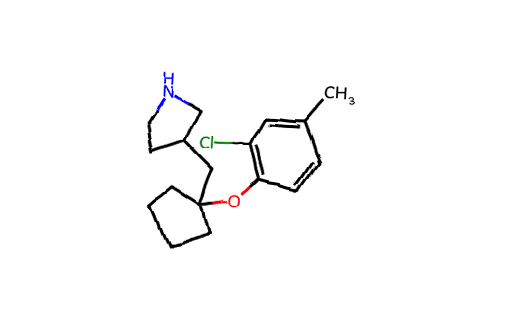 Cc1ccc(OC2(CC3CCNC3)CCCC2)c(Cl)c1